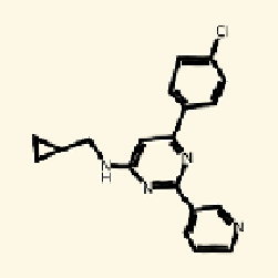 Clc1ccc(-c2cc(NCC3CC3)nc(-c3cccnc3)n2)cc1